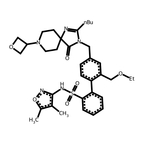 CCCCC1=NC2(CCN(C3COC3)CC2)C(=O)N1Cc1ccc(-c2ccccc2S(=O)(=O)Nc2noc(C)c2C)c(COCC)c1